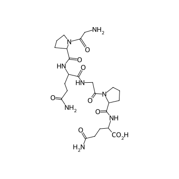 NCC(=O)N1CCCC1C(=O)NC(CCC(N)=O)C(=O)NCC(=O)N1CCCC1C(=O)NC(CCC(N)=O)C(=O)O